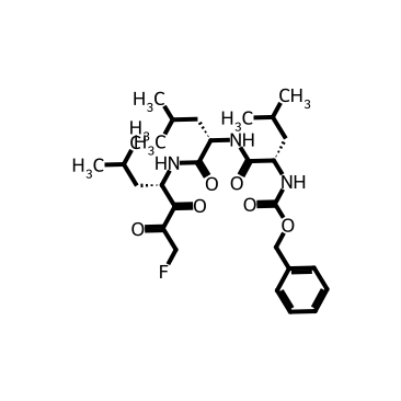 CC(C)C[C@H](NC(=O)OCc1ccccc1)C(=O)N[C@@H](CC(C)C)C(=O)N[C@@H](CC(C)C)C(=O)C(=O)CF